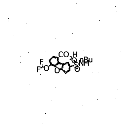 CCCCNS(=O)(=O)c1ccc2oc3c(OC(F)F)ccc(C(=O)O)c3c2c1